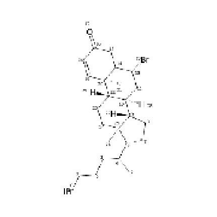 CC(C)CCC[C@@H](C)[C@H]1CC[C@H]2[C@@H]3C[C@@H](Br)C4CC(=O)C=C[C@]4(C)[C@H]3CC[C@]12C